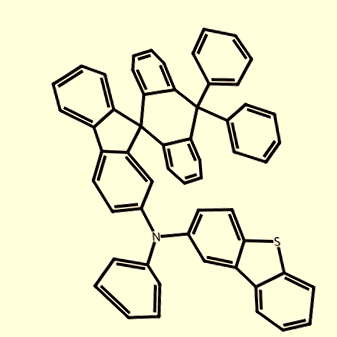 c1ccc(N(c2ccc3c(c2)C2(c4ccccc4-3)c3ccccc3C(c3ccccc3)(c3ccccc3)c3ccccc32)c2ccc3sc4ccccc4c3c2)cc1